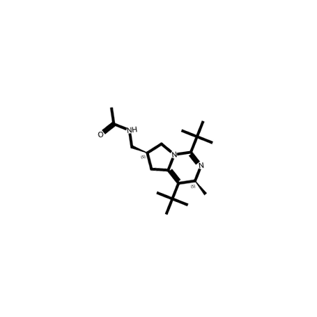 CC(=O)NC[C@@H]1CC2=C(C(C)(C)C)[C@H](C)N=C(C(C)(C)C)N2C1